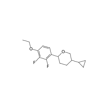 CCOc1ccc(C2CCC(C3CC3)CO2)c(F)c1F